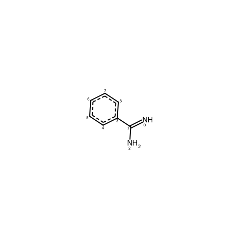 N=C(N)c1cc[c]cc1